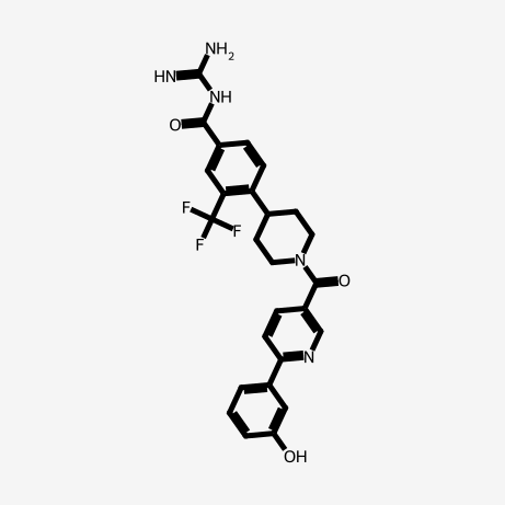 N=C(N)NC(=O)c1ccc(C2CCN(C(=O)c3ccc(-c4cccc(O)c4)nc3)CC2)c(C(F)(F)F)c1